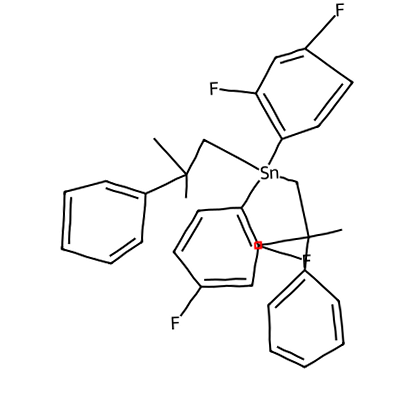 CC(C)([CH2][Sn]([CH2]C(C)(C)c1ccccc1)([c]1ccc(F)cc1F)[c]1ccc(F)cc1F)c1ccccc1